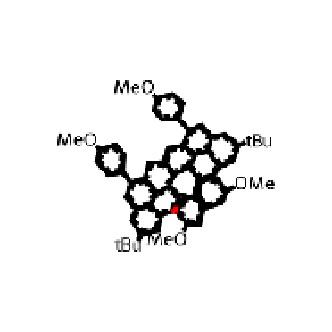 COc1ccc(-c2cc3cc(C(C)(C)C)cc4cc(-c5ccc(OC)cc5)c5c6c(cc2c5c34)cc2c(-c3ccc(OC)cc3)cc3cc(C(C)(C)C)cc4cc(-c5ccc(OC)cc5)c6c2c34)cc1